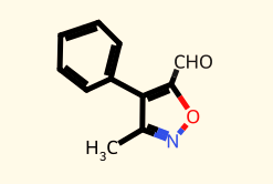 Cc1noc(C=O)c1-c1ccccc1